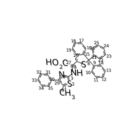 Cc1sc(N[C@@H](CSC(c2ccccc2)(c2ccccc2)c2ccccc2)C(=O)O)nc1-c1ccccc1